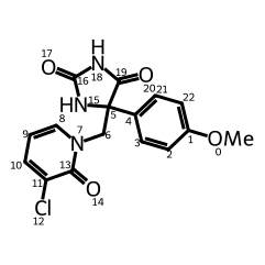 COc1ccc(C2(Cn3cccc(Cl)c3=O)NC(=O)NC2=O)cc1